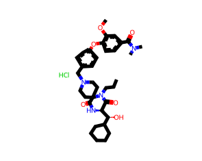 CCCN1C(=O)[C@@H]([C@H](O)C2CCCCC2)NC(=O)C12CCN(Cc1ccc(Oc3ccc(C(=O)N(C)C)cc3OC)cc1)CC2.Cl